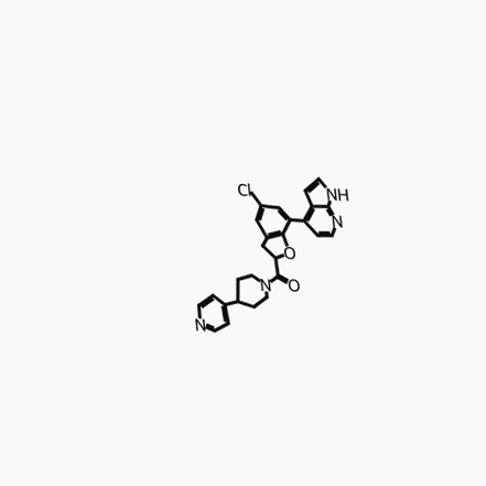 O=C(C1Cc2cc(Cl)cc(-c3ccnc4[nH]ccc34)c2O1)N1CCC(c2ccncc2)CC1